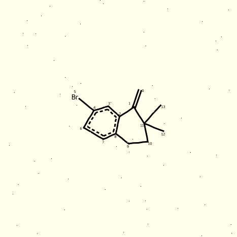 C=C1c2cc(Br)ccc2CCC1(C)C